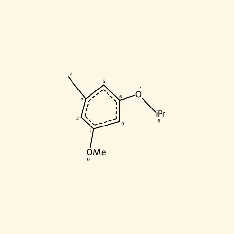 COc1cc(C)cc(OC(C)C)c1